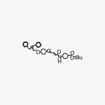 CC(C)(C)OC(=O)C1CCC(NC(=O)/C=C/COC2CCC(OCCN(Cc3ccccc3)Cc3ccccc3)CC2)CC1